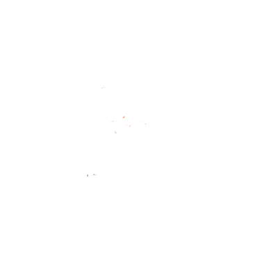 CCCCCCCCCCCCCCCCCC(=O)OC[C@H](COP(=O)(O)OCCNCCCC(=O)O)OC(=O)CCCCCCCCCCCCCCCCC